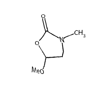 COC1CN(C)C(=O)O1